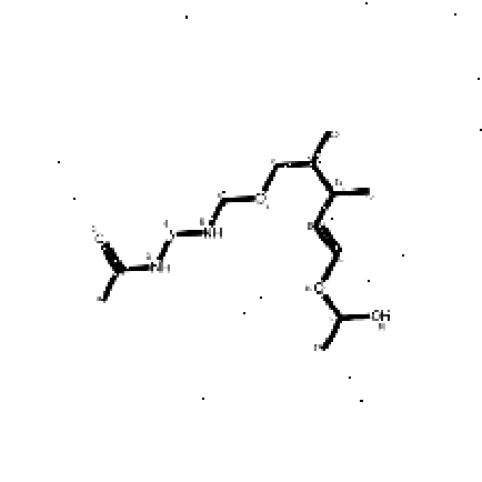 CC(=O)NSNCOCC(C)C(C)C=COC(C)O